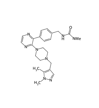 CNC(=O)NCc1ccc(-c2nccnc2N2CCN(Cc3cnn(C)c3C)CC2)cc1